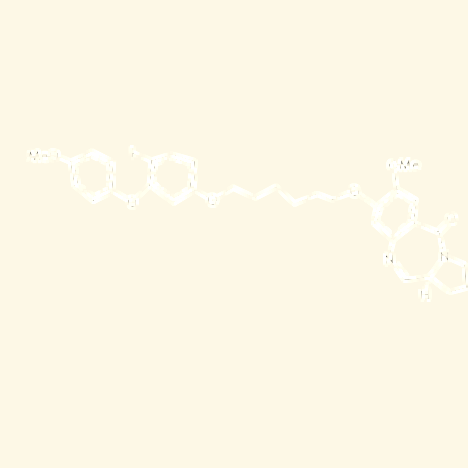 COc1ccc(Oc2cc(OCCCCCCOc3cc4c(cc3OC)C(=O)N3CCC[C@H]3C=N4)ccc2I)cc1